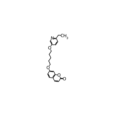 CCc1ccc(OCCCCCOc2ccc3ccc(=O)oc3c2)cn1